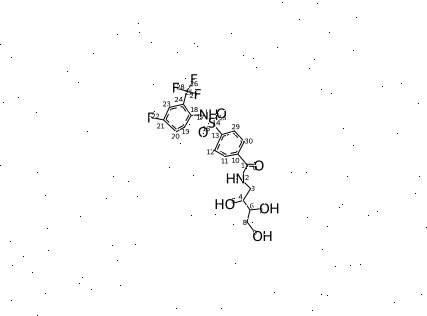 O=C(NCC(O)C(O)CO)c1ccc(S(=O)(=O)Nc2ccc(F)cc2C(F)(F)F)cc1